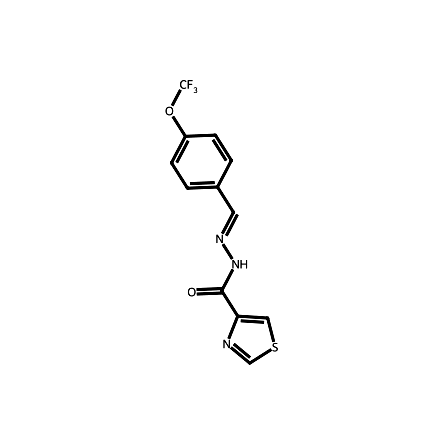 O=C(NN=Cc1ccc(OC(F)(F)F)cc1)c1cscn1